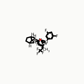 Cc1cc(N2C[C@H]3CC[C@@H](C2)[C@@H]3Nc2nc(Oc3cc(F)cc(F)c3)n(CC(F)(F)F)n2)ncn1